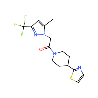 Cc1cc(C(F)(F)F)nn1CC(=O)N1CCC(c2nccs2)CC1